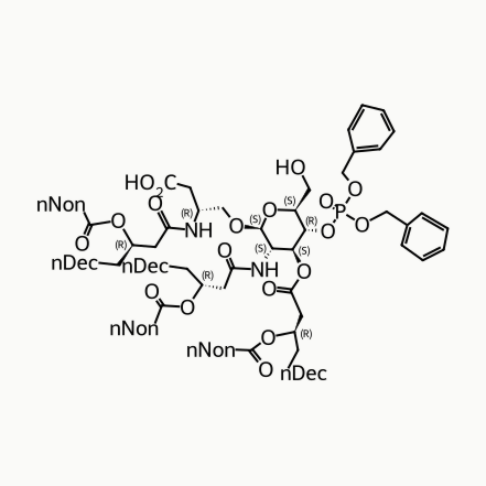 CCCCCCCCCCC[C@H](CC(=O)N[C@@H](CO[C@H]1O[C@@H](CO)[C@H](OP(=O)(OCc2ccccc2)OCc2ccccc2)[C@@H](OC(=O)C[C@@H](CCCCCCCCCCC)OC(=O)CCCCCCCCC)[C@@H]1NC(=O)C[C@@H](CCCCCCCCCCC)OC(=O)CCCCCCCCC)CC(=O)O)OC(=O)CCCCCCCCC